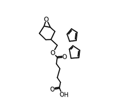 C1=CCC=C1.C1=CCC=C1.O=C(O)CCCCC(=O)OCC1CCC2OC2C1